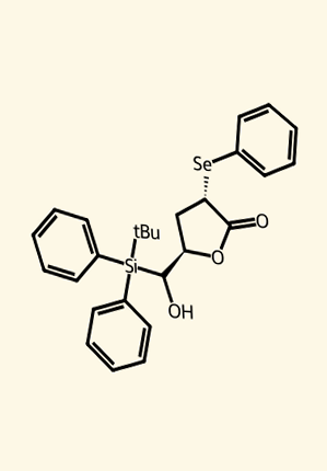 CC(C)(C)[Si](c1ccccc1)(c1ccccc1)C(O)[C@H]1C[C@H]([Se]c2ccccc2)C(=O)O1